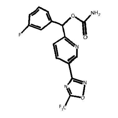 NC(=O)OC(c1cccc(F)c1)c1ccc(-c2noc(C(F)(F)F)n2)cn1